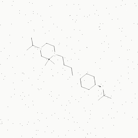 CC(C)O[C@H]1CC[C@H](CCCCN2CCN(C(C)C)CC2(C)C)CC1